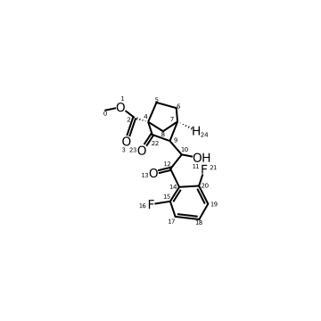 COC(=O)[C@]12CC[C@H](C1)C(C(O)C(=O)c1c(F)cccc1F)C2=O